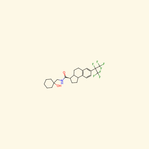 O=C(NCC1(O)CCCCC1)[C@@H]1CCC2c3ccc(C(F)(C(F)(F)F)C(F)(F)F)cc3CCC21